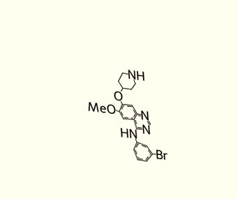 COc1cc2c(Nc3cccc(Br)c3)ncnc2cc1OC1CCNCC1